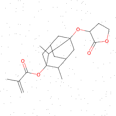 C=C(C)C(=O)OC12CC3CC(CC(OC4CCOC4=O)(C3)C1C)C2C